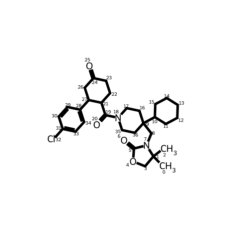 CC1(C)COC(=O)N1CC1(C2CCCCC2)CCN(C(=O)C2CCC(=O)CC2c2ccc(Cl)cc2)CC1